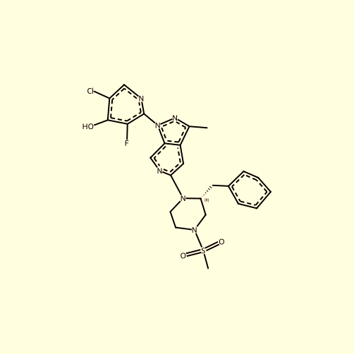 Cc1nn(-c2ncc(Cl)c(O)c2F)c2cnc(N3CCN(S(C)(=O)=O)C[C@H]3Cc3ccccc3)cc12